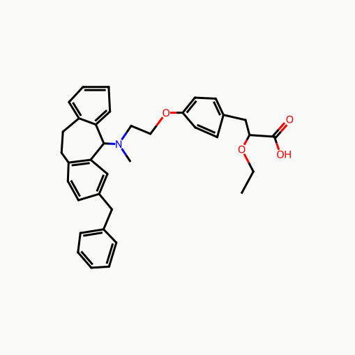 CCOC(Cc1ccc(OCCN(C)C2c3ccccc3CCc3ccc(Cc4ccccc4)cc32)cc1)C(=O)O